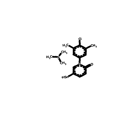 CN(C)C.Cc1cc(-n2c[c]([SnH])ccc2=O)cc(C)c1Cl